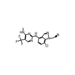 CNc1nc(Nc2ccc(Cl)c3c2cnn3CC#N)ncc1C(F)(F)F